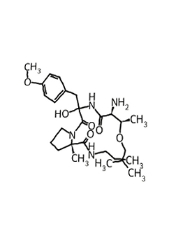 CCCNC(=O)[C@]1(C)CCCN1C(=O)C(O)(Cc1ccc(OC)cc1)NC(=O)[C@@H](N)[C@@H](C)OCC(C)C